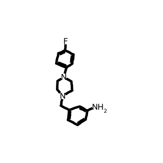 Nc1cccc(CN2CCN(c3ccc(F)cc3)CC2)c1